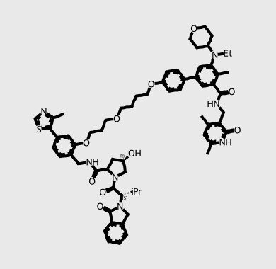 CCN(c1cc(-c2ccc(OCCCCOCCCOc3cc(-c4scnc4C)ccc3CNC(=O)C3C[C@@H](O)CN3C(=O)[C@H](C(C)C)N3Cc4ccccc4C3=O)cc2)cc(C(=O)NCc2c(C)cc(C)[nH]c2=O)c1C)C1CCOCC1